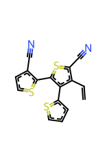 C=Cc1c(C#N)sc(-c2sccc2C#N)c1-c1cccs1